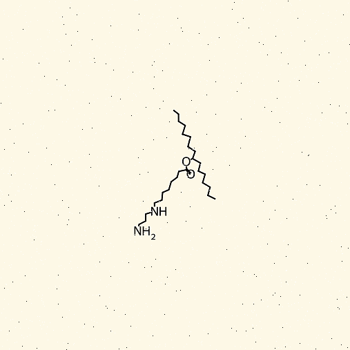 CCCCCCCCC(CCCCCCC)OC(=O)CCCCCCCNCCCN